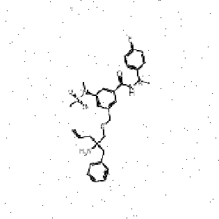 C=CCC(N)(COCc1cc(C(=O)N[C@H](C)c2ccc(F)cc2)cc(N(C)S(C)(=O)=O)c1)Cc1ccccc1